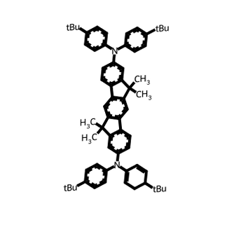 CC(C)(C)c1ccc(N(C2=CCC(C(C)(C)C)C=C2)c2ccc3c(c2)C(C)(C)c2cc4c(cc2-3)C(C)(C)c2cc(N(c3ccc(C(C)(C)C)cc3)c3ccc(C(C)(C)C)cc3)ccc2-4)cc1